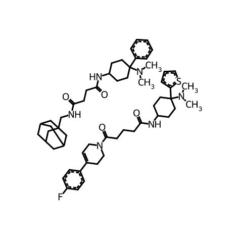 CN(C)C1(c2ccccc2)CCC(NC(=O)CCC(=O)NCC23CC4CC(CC(C4)C2)C3)CC1.CN(C)C1(c2cccs2)CCC(NC(=O)CCCC(=O)N2CC=C(c3ccc(F)cc3)CC2)CC1